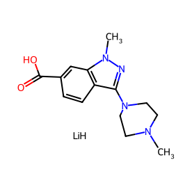 CN1CCN(c2nn(C)c3cc(C(=O)O)ccc23)CC1.[LiH]